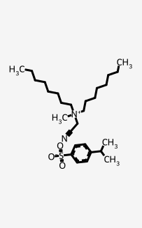 CC(C)c1ccc(S(=O)(=O)[O-])cc1.CCCCCCCC[N+](C)(CC#N)CCCCCCCC